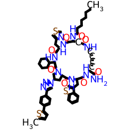 CCCCCCCC(=O)NC1CC(=O)NCCCCC(C(N)=O)NC(=O)C(Cc2csc3ccccc23)NC(=O)C2CC(n3cc(-c4ccc(-c5ccc(C)s5)cc4)nn3)CN2C(=O)C(C2CCCCC2)NC(=O)C(Cc2cscn2)NC1=O